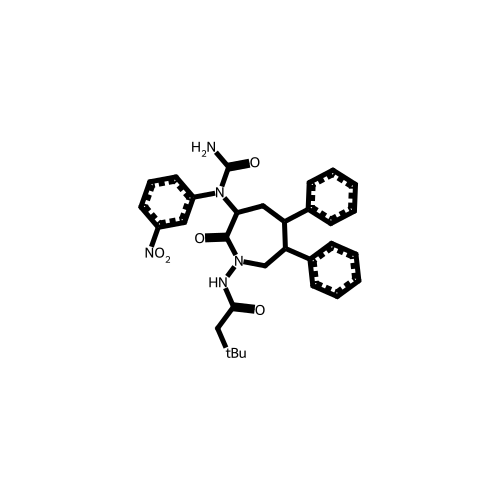 CC(C)(C)CC(=O)NN1CC(c2ccccc2)C(c2ccccc2)CC(N(C(N)=O)c2cccc([N+](=O)[O-])c2)C1=O